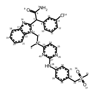 CN(Cn1c(C(C(N)=O)c2cccc(Cl)c2)nc2ccccc21)c1ccnc(Nc2ccc(CS(C)(=O)=O)cc2)n1